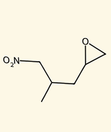 CC(CC1CO1)C[N+](=O)[O-]